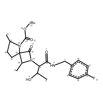 CC(O)C(C(=O)NCc1ccc(F)cc1)N1C(=O)C2(CCC(C)N2C(=O)OC(C)(C)C)C1C